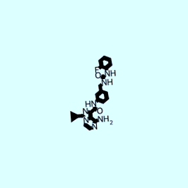 Nc1nccn2c(C3CC3)nc(C(=O)Nc3cccc(CNC(=O)Nc4ccccc4F)c3)c12